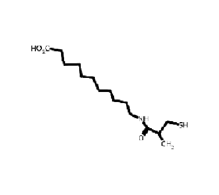 CC(CS)C(=O)NCCCCCCCCCCC(=O)O